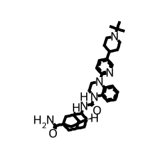 CC(C)(C)N1CCC(c2ccc(N3CCN(C(=O)NC4[C@@H]5CC6C[C@H]4CC(C(N)=O)(C6)C5)c4ccccc43)nc2)CC1